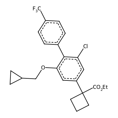 CCOC(=O)C1(c2cc(Cl)c(-c3ccc(C(F)(F)F)cc3)c(OCC3CC3)c2)CCC1